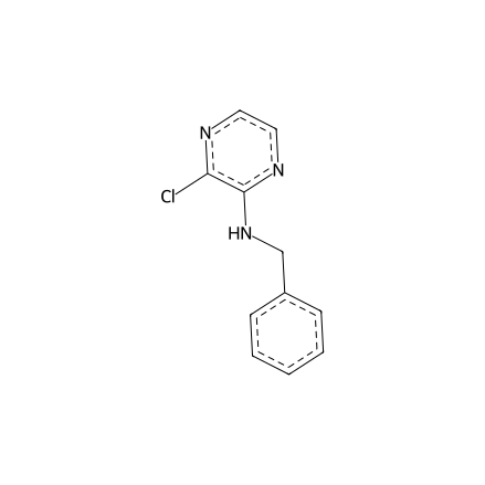 Clc1nccnc1NCc1ccccc1